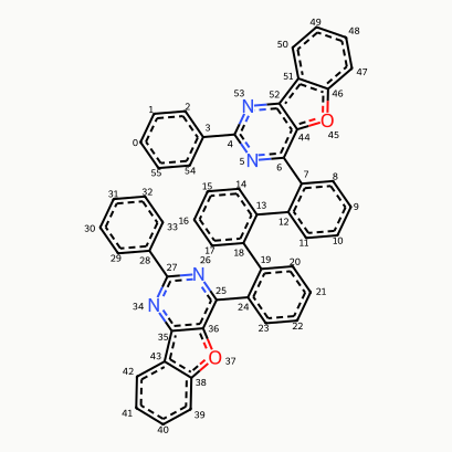 c1ccc(-c2nc(-c3ccccc3-c3ccccc3-c3ccccc3-c3nc(-c4ccccc4)nc4c3oc3ccccc34)c3oc4ccccc4c3n2)cc1